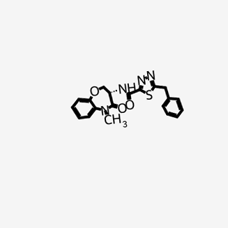 CN1C(=O)[C@@H](NC(=O)c2nnc(Cc3ccccc3)s2)COc2ccccc21